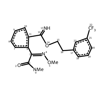 CNC(=O)C(=NOC)c1ccccc1C(=N)OCCc1cccc(C(F)(F)F)c1